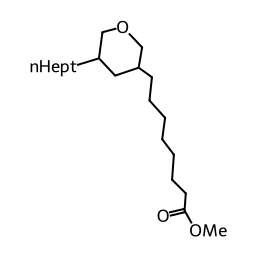 CCCCCCCC1COCC(CCCCCCCC(=O)OC)C1